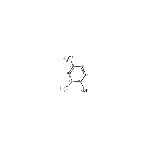 Bc1cc(C)ccc1Br